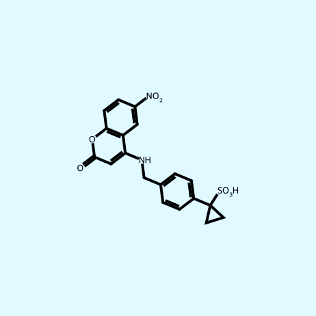 O=c1cc(NCc2ccc(C3(S(=O)(=O)O)CC3)cc2)c2cc([N+](=O)[O-])ccc2o1